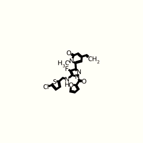 C=Cc1cc(-c2nn(C(=O)c3ccco3)c(NCc3ccc(Cl)s3)c2F)n(C)c(=O)c1